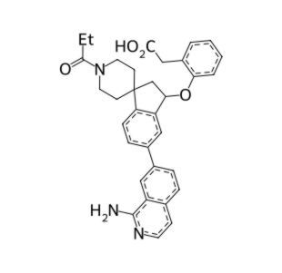 CCC(=O)N1CCC2(CC1)CC(Oc1ccccc1CC(=O)O)c1cc(-c3ccc4ccnc(N)c4c3)ccc12